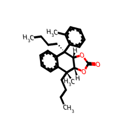 CCCC[C@@]1(c2ccccc2C)c2ccccc2[C@@](C)(CCCC)[C@H]2OC(=O)O[C@H]21